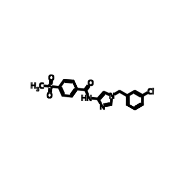 CS(=O)(=O)c1ccc(C(=O)Nc2cn(Cc3cccc(Cl)c3)cn2)cc1